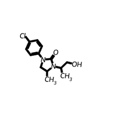 CC(CO)N1C(=O)N(c2ccc(Cl)cc2)CC1C